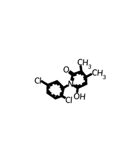 Cc1cc(O)n(-c2cc(Cl)ccc2Cl)c(=O)c1C